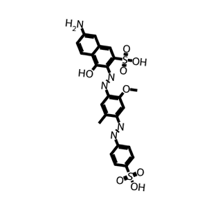 COc1cc(N=Nc2ccc(S(=O)(=O)O)cc2)c(C)cc1N=Nc1c(S(=O)(=O)O)cc2cc(N)ccc2c1O